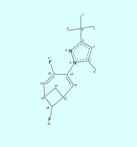 Cc1cc(C(C)(C)C)nn1C1=CC2CC(C=C1F)C2F